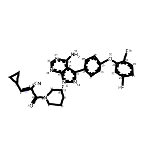 N#C/C(=C\C1CC1)C(=O)N1CCC[C@@H](n2nc(-c3ccc(Oc4cc(F)ccc4F)cc3)c3c(N)ncnc32)C1